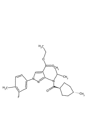 CCOC(=O)c1cn(-c2ccc(C)c(F)c2)nc1N(C(=O)[C@H]1CC[C@H](C)CC1)C(C)C